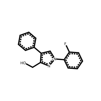 OCc1nn(-c2ccccc2F)cc1-c1ccccc1